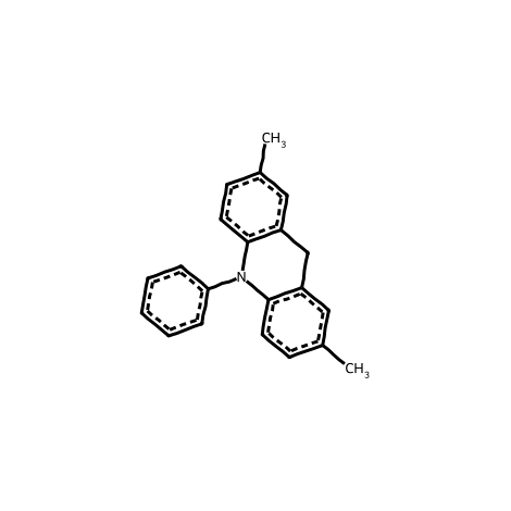 Cc1ccc2c(c1)Cc1cc(C)ccc1N2c1ccccc1